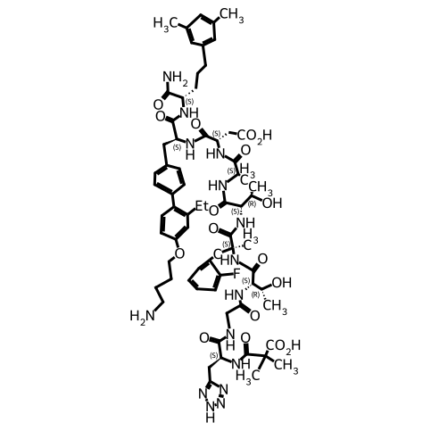 CCc1cc(OCCCCN)ccc1-c1ccc(C[C@H](NC(=O)[C@H](CC(=O)O)NC(=O)[C@H](C)NC(=O)[C@@H](NC(=O)[C@](C)(Cc2ccccc2F)NC(=O)[C@@H](NC(=O)CNC(=O)[C@H](Cc2nn[nH]n2)NC(=O)C(C)(C)C(=O)O)[C@@H](C)O)[C@@H](C)O)C(=O)N[C@@H](CCCc2cc(C)cc(C)c2)C(N)=O)cc1